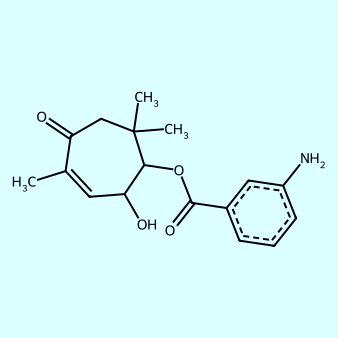 CC1=CC(O)C(OC(=O)c2cccc(N)c2)C(C)(C)CC1=O